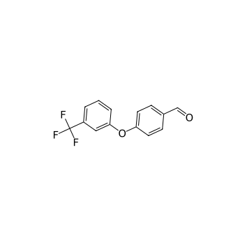 O=Cc1ccc(Oc2cccc(C(F)(F)F)c2)cc1